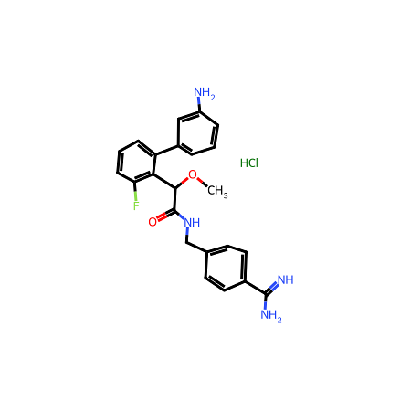 COC(C(=O)NCc1ccc(C(=N)N)cc1)c1c(F)cccc1-c1cccc(N)c1.Cl